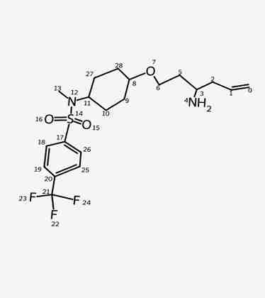 C=CCC(N)CCOC1CCC(N(C)S(=O)(=O)c2ccc(C(F)(F)F)cc2)CC1